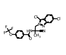 CC(C#N)(Cn1nc2cc(Cl)ccc2c1Cl)NC(=O)c1ccc(OC(F)(F)F)cc1